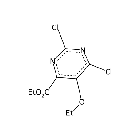 CCOC(=O)c1nc(Cl)nc(Cl)c1OCC